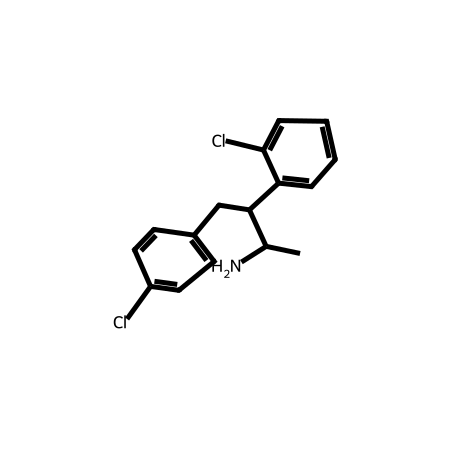 CC(N)C(Cc1ccc(Cl)cc1)c1ccccc1Cl